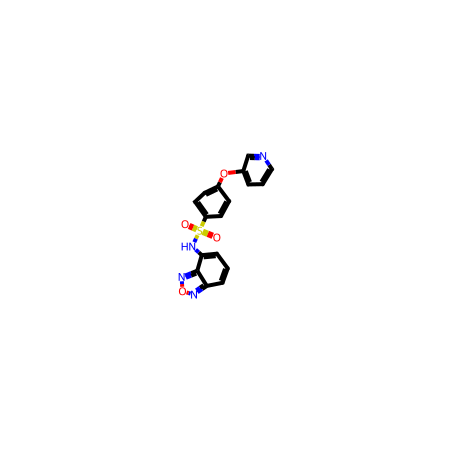 O=S(=O)(Nc1cccc2nonc12)c1ccc(Oc2cccnc2)cc1